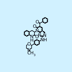 CN1CCOC(c2ccc(Nc3ncc4cc(C(=O)c5ccccc5)c(=O)n(C5Cc6ccccc6NC5=O)c4n3)cc2)C1